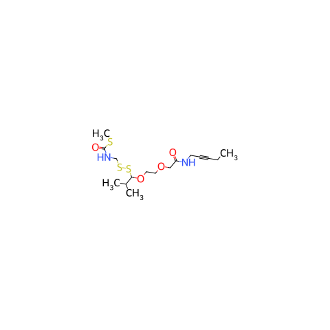 CCC#CCNC(=O)COCCOC(SSCNC(=O)SC)C(C)C